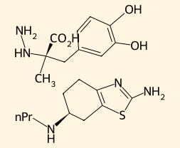 CCCN[C@H]1CCc2nc(N)sc2C1.C[C@@](Cc1ccc(O)c(O)c1)(NN)C(=O)O